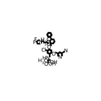 CC(CO)(NCc1cc(Cl)c(OCC2(OCCCN3CCC(F)(F)C3)C=CC=C(c3ccccc3)C2(C)C)cc1OCc1cncc(C#N)c1)C(=O)O